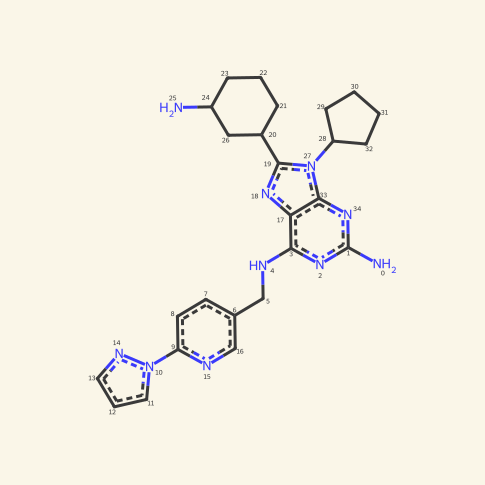 Nc1nc(NCc2ccc(-n3cccn3)nc2)c2nc(C3CCCC(N)C3)n(C3CCCC3)c2n1